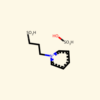 O=S(=O)(O)CCC[n+]1ccccc1.O=S(=O)(O)O